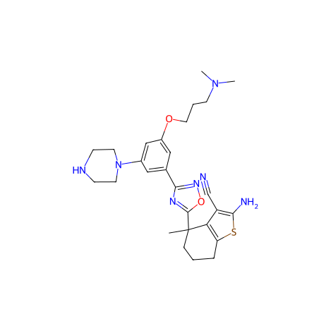 CN(C)CCCOc1cc(-c2noc(C3(C)CCCc4sc(N)c(C#N)c43)n2)cc(N2CCNCC2)c1